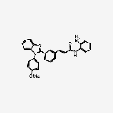 COc1ccc(-n2c(-c3cccc(C=CC(=O)Nc4ccccc4N)c3)nc3ccccc32)cc1